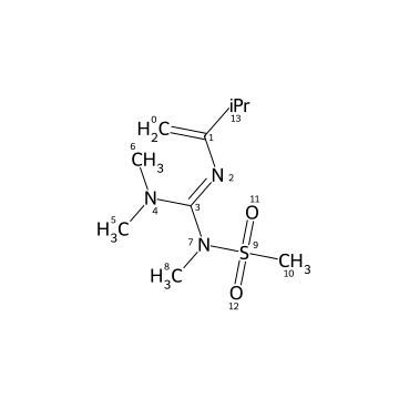 C=C(/N=C(\N(C)C)N(C)S(C)(=O)=O)C(C)C